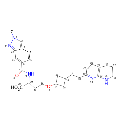 Cn1cc2ccc(C(=O)NC(CCOC3CC(CCc4ccc5c(n4)NCCC5)C3)C(=O)O)cc2n1